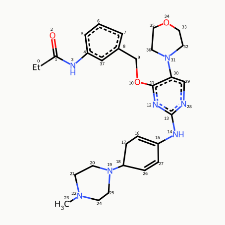 CCC(=O)Nc1cccc(COc2nc(NC3=CCC(N4CCN(C)CC4)C=C3)ncc2N2CCOCC2)c1